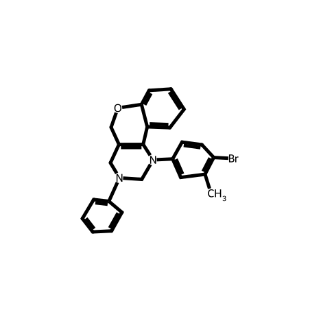 Cc1cc(N2CN(c3ccccc3)CC3=C2c2ccccc2OC3)ccc1Br